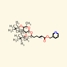 C[C@H](CC/C=C/C(=O)OCc1cccnc1)O[C@@H]1O[C@@H](C)[C@H](O[Si](C)(C)C(C)(C)C)C[C@H]1O[Si](C)(C)C(C)(C)C